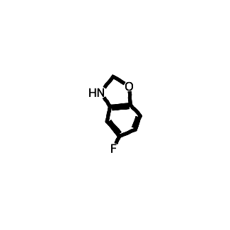 Fc1ccc2c(c1)NCO2